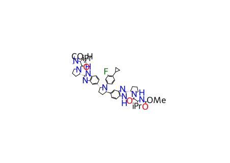 COC(=O)N[C@H](C(=O)N1CCC[C@H]1c1nc2cc([C@H]3CC[C@H](c4ccc5[nH]c([C@@H]6CCCN6C(=O)[C@H](C(C)C)N(C)C(=O)O)nc5c4)N3c3ccc(C4CC4)c(F)c3)ccc2[nH]1)C(C)C